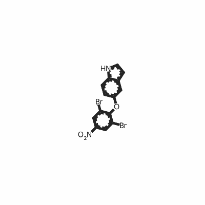 O=[N+]([O-])c1cc(Br)c(Oc2ccc3[nH]ccc3c2)c(Br)c1